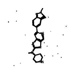 CN(c1nc2cnc(-c3ccc4nn(C)cc4c3)cc2s1)C1CCNCC1